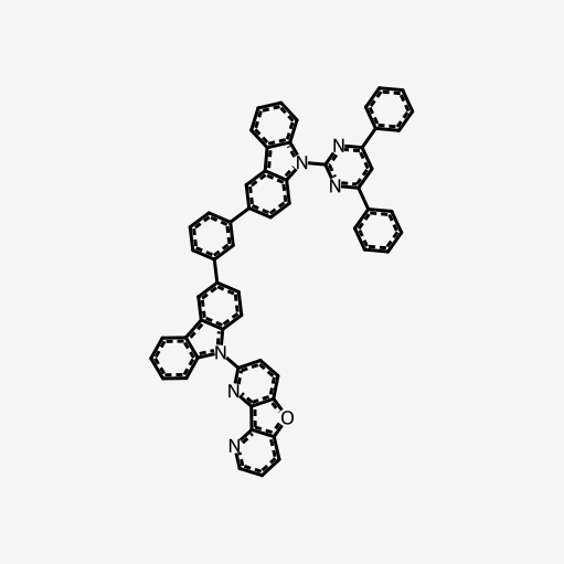 c1ccc(-c2cc(-c3ccccc3)nc(-n3c4ccccc4c4cc(-c5cccc(-c6ccc7c(c6)c6ccccc6n7-c6ccc7oc8cccnc8c7n6)c5)ccc43)n2)cc1